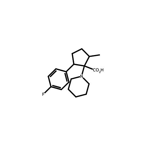 C[C]1CCC(c2ccc(F)cc2)C1(C(=O)O)N1CCCCC1